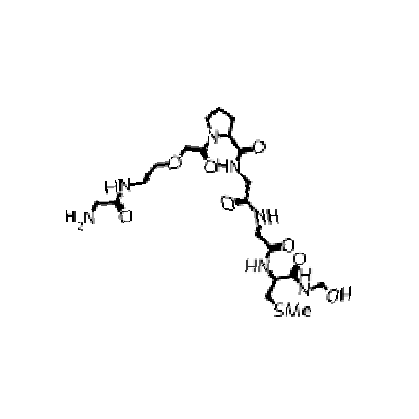 CSCC(NC(=O)CNC(=O)CNC(=O)C1CCCN1C(=O)COCCNC(=O)CN)C(=O)NCO